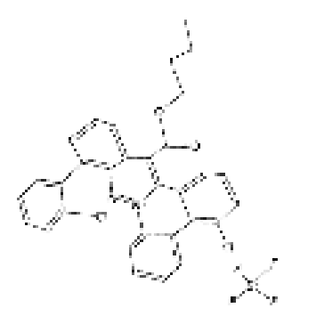 CCCCOC(=O)c1c2cccc(-c3ccccc3Cl)c2n[n+]2c3ccccc3c3c(Cl)cccc3c12.F[B-](F)(F)F